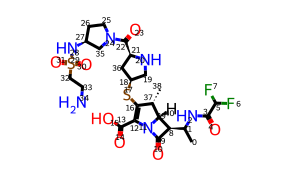 CC(NC(=O)C(F)F)[C@H]1C(=O)N2C(C(=O)O)=C(S[C@@H]3CN[C@H](C(=O)N4CC[C@H](NS(=O)(=O)CCN)C4)C3)[C@H](C)[C@H]12